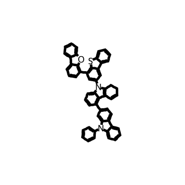 C1=Cc2c(n(-c3cc(-c4cccc5c4oc4ccccc45)c4sc5ccccc5c4c3)c3cccc(-c4ccc5c6ccccc6n(-c6ccccc6)c5c4)c23)CC1